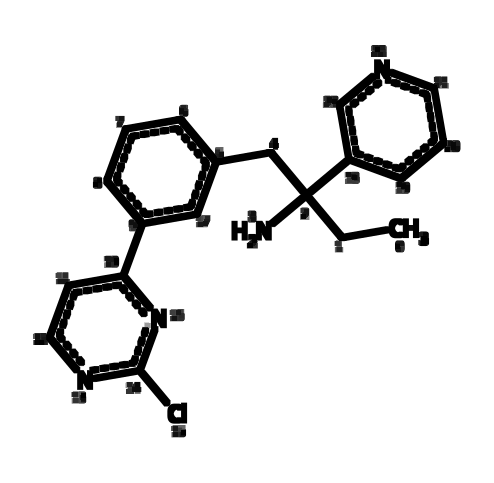 CCC(N)(Cc1cccc(-c2ccnc(Cl)n2)c1)c1cccnc1